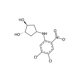 O=[N+]([O-])c1cc(Cl)c(Cl)cc1NC1C[C@H](O)[C@@H](O)C1